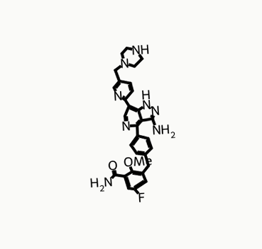 COc1c(Cc2ccc(-c3ncc(-c4ccc(CN5CCNCC5)cn4)c4[nH]nc(N)c34)cc2)cc(F)cc1C(N)=O